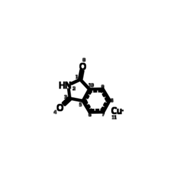 O=C1NC(=O)c2ccccc21.[Cu]